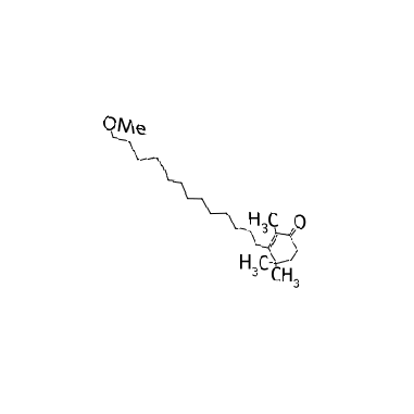 COCCCCCCCCCCCCCC1=C(C)C(=O)CCC1(C)C